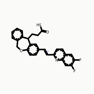 O=C(S)CCC1c2ccccc2COc2ccc(/C=C/c3ccc4cc(F)c(F)cc4n3)cc21